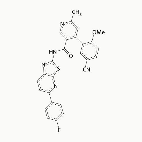 COc1ccc(C#N)cc1-c1cc(C)ncc1C(=O)Nc1nc2ccc(-c3ccc(F)cc3)nc2s1